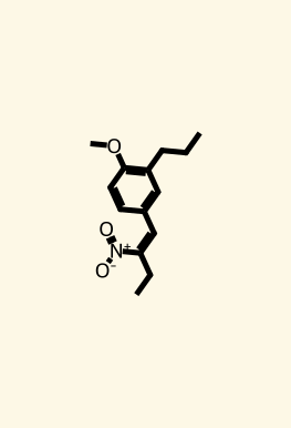 CCCc1cc(C=C(CC)[N+](=O)[O-])ccc1OC